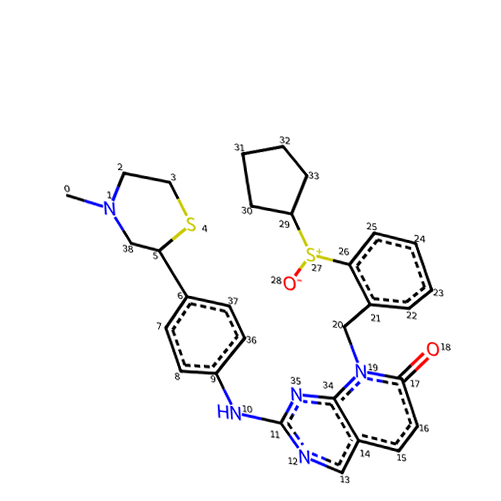 CN1CCSC(c2ccc(Nc3ncc4ccc(=O)n(Cc5ccccc5[S+]([O-])C5CCCC5)c4n3)cc2)C1